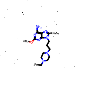 CCCCOc1nc(N)c2nc(OC)n(CCCN3CCN(CC(C)C)CC3)c2n1